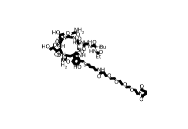 CCC(=O)N[C@H](C(=O)NCC(=O)N[C@H]1C[S+]([O-])c2[nH]c3c(CSCCCCNC(=O)CCOCCOCCOCCOCCN4C(=O)CCC4=O)c(O)ccc3c2C[C@@H](C(N)=O)NC(=O)[C@H]([C@@H](C)[C@@H](O)CO)NC(=O)[C@@H]2C[C@@H](O)CN2C(=O)[C@H](CC(N)=O)NC1=O)[C@@H](C)CC